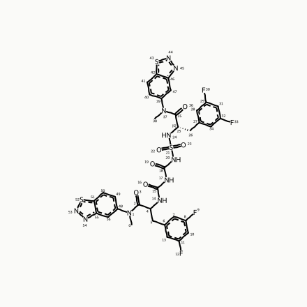 CN(C(=O)C(Cc1cc(F)cc(F)c1)NC(=O)NC(=O)NS(=O)(=O)N[C@@H](Cc1cc(F)cc(F)c1)C(=O)N(C)c1ccc2snnc2c1)c1ccc2snnc2c1